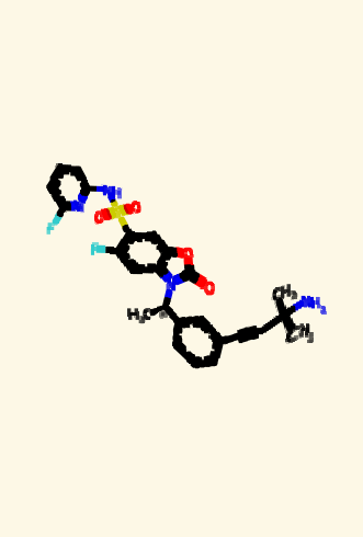 C[C@H](c1cccc(C#CC(C)(C)N)c1)n1c(=O)oc2cc(S(=O)(=O)Nc3cccc(F)n3)c(F)cc21